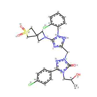 O=c1n(Cc2nc(N3CC4(C3)CS(=O)(=O)C4)n(-c3ccccc3Cl)n2)nc(-c2ccc(Cl)cc2)n1CC(O)C(F)(F)F